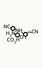 Cc1cc(CCC#N)cc(C)c1Oc1cc(Nc2ccc(C#N)cc2)c(N)cc1C(=O)O